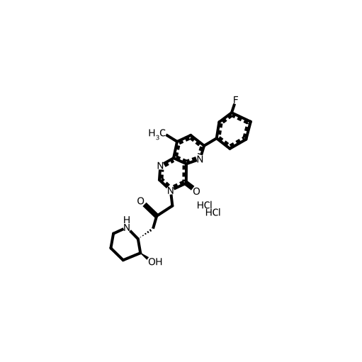 Cc1cc(-c2cccc(F)c2)nc2c(=O)n(CC(=O)C[C@H]3NCCC[C@@H]3O)cnc12.Cl.Cl